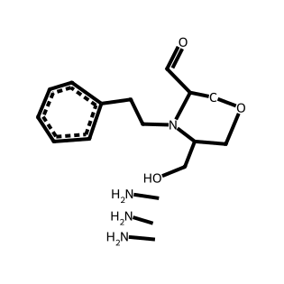 CN.CN.CN.O=CC1COCC(CO)N1CCc1ccccc1